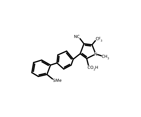 CSc1ccccc1-c1ccc(-c2c(C#N)c(C(F)(F)F)n(C)c2C(=O)O)cc1